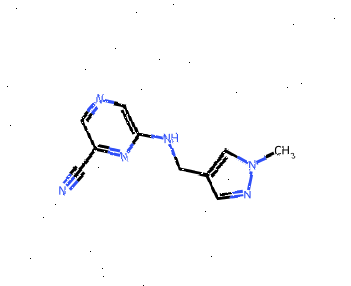 Cn1cc(CNc2cncc(C#N)n2)cn1